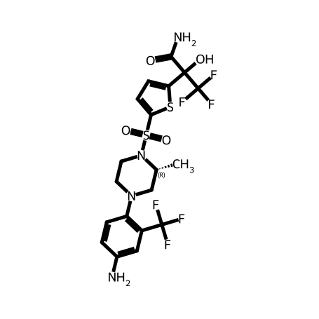 C[C@@H]1CN(c2ccc(N)cc2C(F)(F)F)CCN1S(=O)(=O)c1ccc(C(O)(C(N)=O)C(F)(F)F)s1